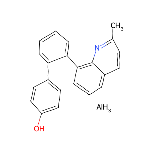 Cc1ccc2cccc(-c3ccccc3-c3ccc(O)cc3)c2n1.[AlH3]